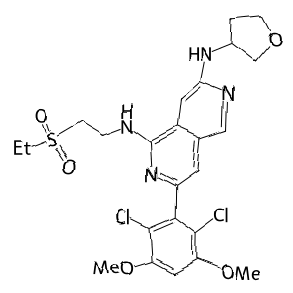 CCS(=O)(=O)CCNc1nc(-c2c(Cl)c(OC)cc(OC)c2Cl)cc2cnc(NC3CCOC3)cc12